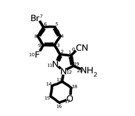 N#Cc1c(-c2ccc(Br)cc2F)nn(C2CCCOC2)c1N